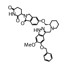 COc1cc2[nH]nc(CN3CCCC[C@@H]3COc3ccc4c(c3)CN(C3CCC(=O)NC3=O)C4=O)c2cc1OCc1ccccc1